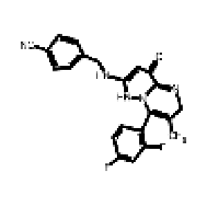 CC1=C(c2ccc(F)cc2F)N2NC(NCc3ccc(C#N)cc3)=CC(=O)C2=NC1